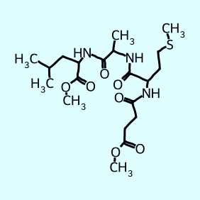 COC(=O)CCC(=O)NC(CCSC)C(=O)NC(C)C(=O)NC(CC(C)C)C(=O)OC